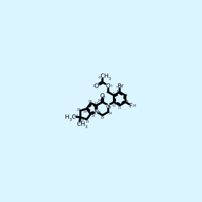 CC(=O)OCc1c(Br)cc(F)cc1N1CCn2c(cc3c2CC(C)(C)C3)C1=O